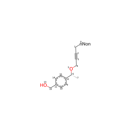 CCCCCCCCCCC#CCO[C@H](C)c1ccc(CO)cc1